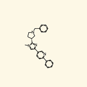 Cn1cc(-c2ccc(-c3ccccc3)nc2)nc1[C@H]1CCN(Cc2ccccc2)C1